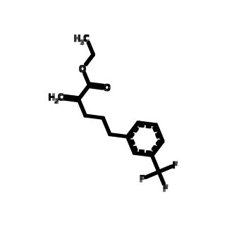 C=C(CCCc1cccc(C(F)(F)F)c1)C(=O)OCC